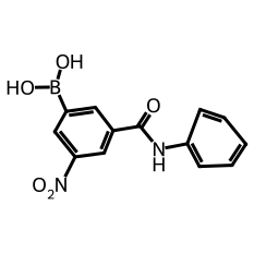 O=C(Nc1ccccc1)c1cc(B(O)O)cc([N+](=O)[O-])c1